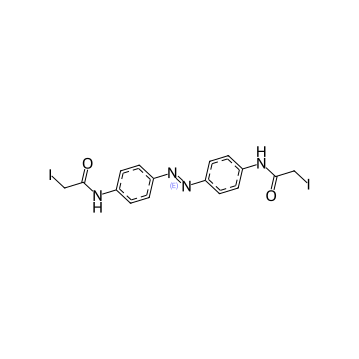 O=C(CI)Nc1ccc(/N=N/c2ccc(NC(=O)CI)cc2)cc1